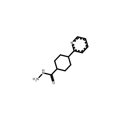 NNC(=O)C1CCC(c2ccccn2)CC1